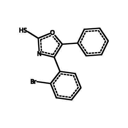 Sc1nc(-c2ccccc2Br)c(-c2ccccc2)o1